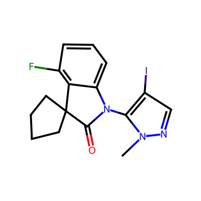 Cn1ncc(I)c1N1C(=O)C2(CCCC2)c2c(F)cccc21